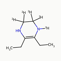 [2H]N1C(CC)=C(CC)NC([2H])([2H])C1([2H])[2H]